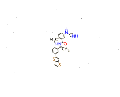 Cc1ccc(NC2CNC2)cc1C(=O)N[C@H](C)c1cccc(-c2cc3sccc3s2)c1